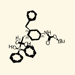 CC(C)(C)OC(=O)N[C@@H]1CC[C@H](CC(C)(C)[Si](O)(c2ccccc2)c2ccccc2)[C@@H](Cc2ccccc2)C1